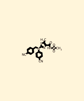 Cc1sc(N(Cc2ccc(C#N)cc2)c2ccc(C#N)cc2)nc1C(=O)NS(C)(=O)=O